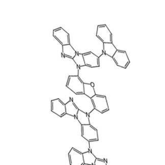 c1ccc2c(c1)nc1n(-c3ccc4c(c3)n3c5ccccc5nc3n4-c3cccc4oc5c(-n6c7ccc(-n8c9ccccc9c9ccccc98)cc7n7c8ccccc8nc67)cccc5c34)c3ccccc3n21